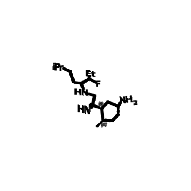 CCC(F)C(CCC(C)C)NCC(=N)[C@H]1CC(N)CC[C@H]1C